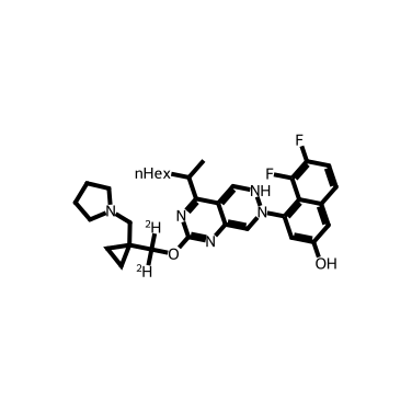 [2H]C([2H])(Oc1nc(C(C)CCCCCC)c2c(n1)=CN(c1cc(O)cc3ccc(F)c(F)c13)NC=2)C1(CN2CCCC2)CC1